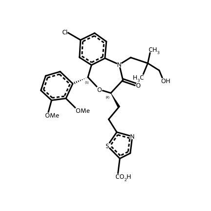 COc1cccc([C@H]2O[C@H](CCc3ncc(C(=O)O)s3)C(=O)N(CC(C)(C)CO)c3ccc(Cl)cc32)c1OC